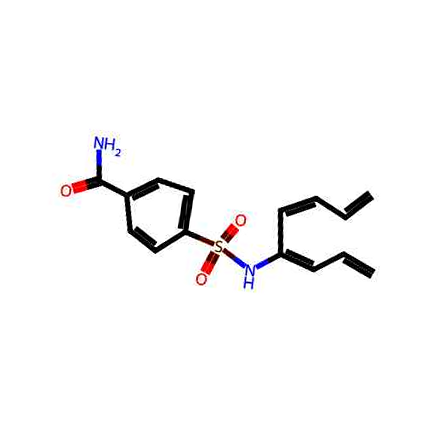 C=C/C=C\C(=C/C=C)NS(=O)(=O)c1ccc(C(N)=O)cc1